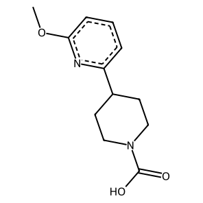 COc1cccc(C2CCN(C(=O)O)CC2)n1